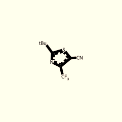 CC(C)(C)c1nc(C(F)(F)F)c(C#N)s1